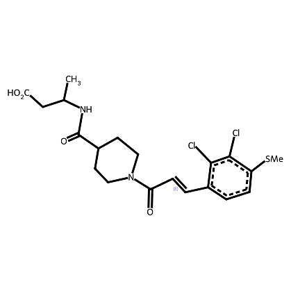 CSc1ccc(/C=C/C(=O)N2CCC(C(=O)NC(C)CC(=O)O)CC2)c(Cl)c1Cl